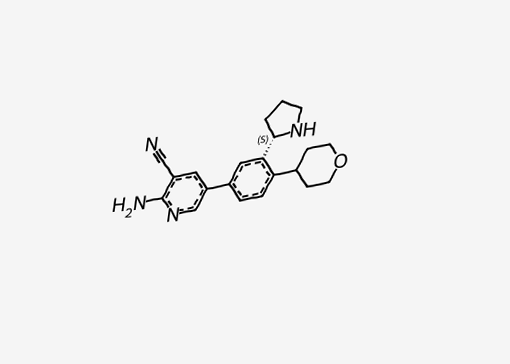 N#Cc1cc(-c2ccc(C3CCOCC3)c([C@@H]3CCCN3)c2)cnc1N